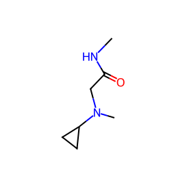 CNC(=O)CN(C)C1CC1